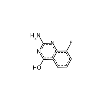 Nc1nc(O)c2cccc(F)c2n1